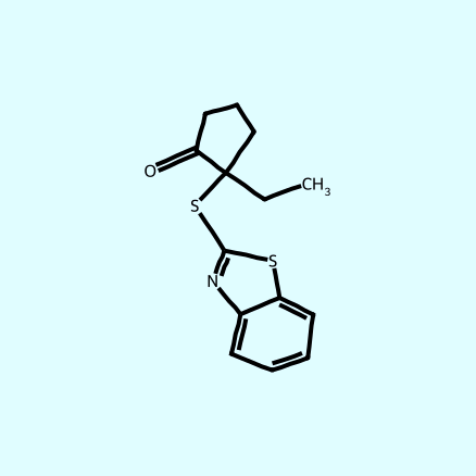 CCC1(Sc2nc3ccccc3s2)CCCC1=O